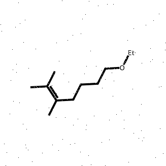 C[CH]OCCCCC(C)=C(C)C